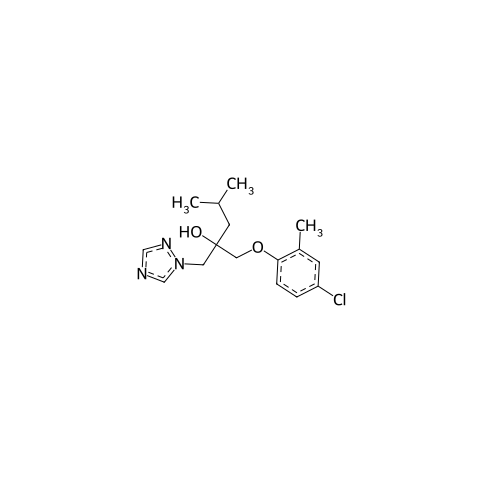 Cc1cc(Cl)ccc1OCC(O)(CC(C)C)Cn1cncn1